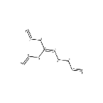 C=CCCC=C(CC=C)CC=C